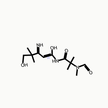 CN(C=O)C(C)(C)C(=O)N/C(O)=C/C(=N)C(C)(C)CO